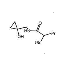 CC(C)C(C(=O)NCC1(O)CC1)C(C)(C)C